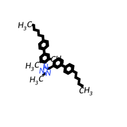 CCCCCCc1ccc(-c2cccc(-c3nc(C)nn3-c3c(C)cc(-c4ccc(CCCCCC)cc4)cc3C)c2)cc1